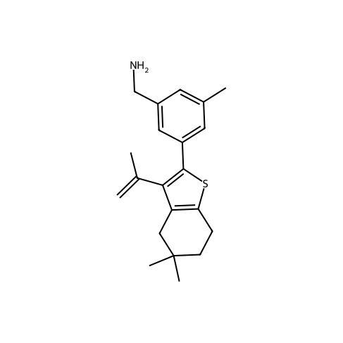 C=C(C)c1c(-c2cc(C)cc(CN)c2)sc2c1CC(C)(C)CC2